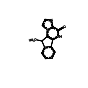 O=C(O)C1c2ccccc2-c2[nH]c(=O)c3nccn3c21